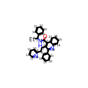 CCC(NC(=O)c1c(CCc2ccccn2)c(-c2ccccc2)nc2ccccc12)c1ccccc1